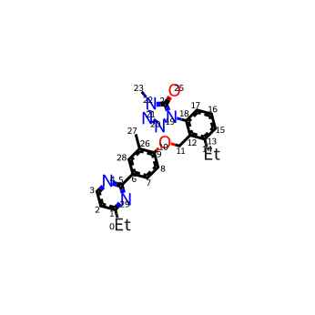 CCc1ccnc(-c2ccc(OCc3c(CC)cccc3-n3nnn(C)c3=O)c(C)c2)n1